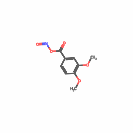 COc1ccc(C(=O)ON=O)cc1OC